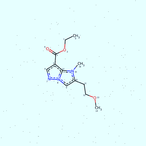 CCOC(=O)c1cnn2cc(CCOC)n(C)c12